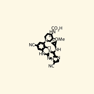 CO[C@H]1CN(c2cc(C#N)cc(Nc3nc(NC4CC4)c4ncc(C#N)n4n3)c2Cl)CC[C@H]1NC(=O)O